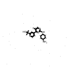 CC(C)(O)c1cc(-c2nc(N[C@H]3CC[C@H](N)CC3)ncc2F)ccn1